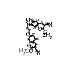 CCN(CCOc1ccc(C=C(C#N)C(=O)OC)cc1)c1ccc(C=C(C#N)C(=O)OC)cc1